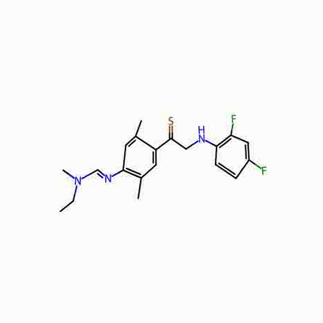 CCN(C)C=Nc1cc(C)c(C(=S)CNc2ccc(F)cc2F)cc1C